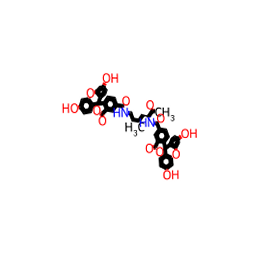 CC(=O)[C@H](CC(C)CCNC(=O)c1ccc2c(c1)C(=O)OC21c2ccc(O)cc2Oc2cc(O)ccc21)NC(=O)c1ccc2c(c1)C(=O)OC21c2ccc(O)cc2Oc2cc(O)ccc21